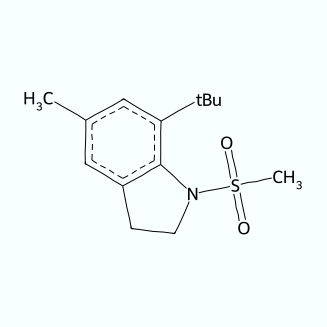 Cc1cc2c(c(C(C)(C)C)c1)N(S(C)(=O)=O)CC2